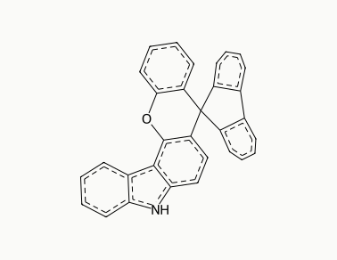 c1ccc2c(c1)Oc1c(ccc3[nH]c4ccccc4c13)C21c2ccccc2-c2ccccc21